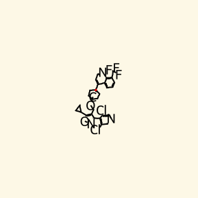 FC(F)(F)c1cccc2c(C34CCC(OCc5c(-c6c(Cl)cncc6Cl)noc5C5CC5)(CC3)CC4)ccnc12